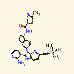 Cc1ccc(C(=O)N[C@H]2CCc3cc(-n4c(-c5cccnc5N)nc5ccc(C#C[Si](C)(C)C)nc54)ccc32)cn1